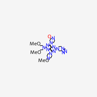 COCCN(CCOC)c1nc(N2CCN(C)C(=O)C2)c2nc(N3CCn4cnnc4C3)nc(N3CCN(OC)CC3)c2n1